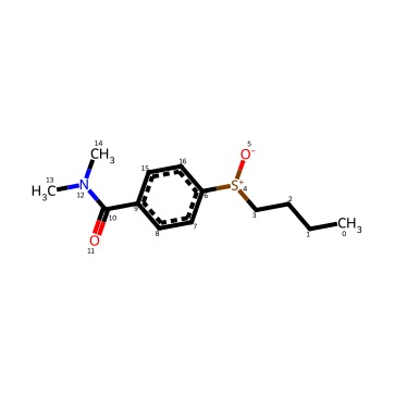 CCCC[S+]([O-])c1ccc(C(=O)N(C)C)cc1